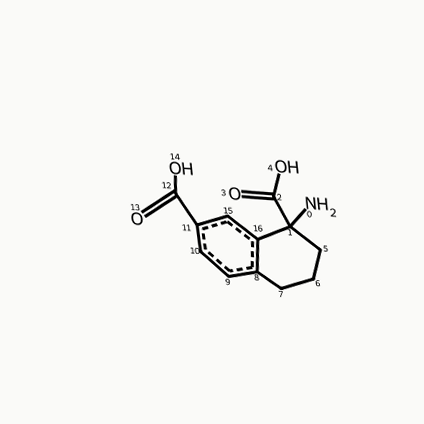 NC1(C(=O)O)CCCc2ccc(C(=O)O)cc21